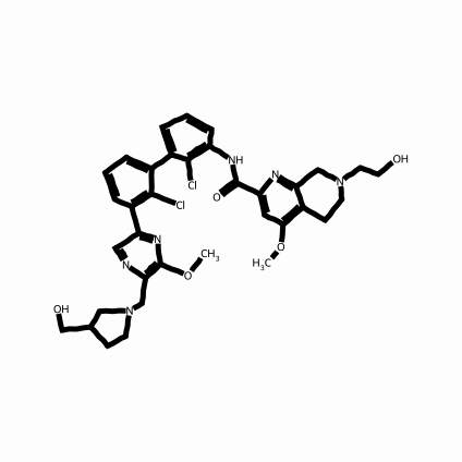 COc1cc(C(=O)Nc2cccc(-c3cccc(-c4cnc(CN5CCC(CO)C5)c(OC)n4)c3Cl)c2Cl)nc2c1CCN(CCO)C2